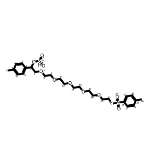 Cc1ccc(C(COCCOCCOCCOCCOCCOS(=O)(=O)c2ccc(C)cc2)O[SH](=O)=O)cc1